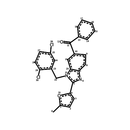 Cc1ccc(-c2nc3ccc(C(=O)c4ccccc4)cc3n2Cc2cc(Cl)ccc2Cl)o1